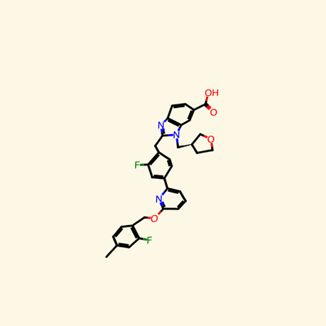 Cc1ccc(COc2cccc(-c3ccc(Cc4nc5ccc(C(=O)O)cc5n4C[C@@H]4CCOC4)c(F)c3)n2)c(F)c1